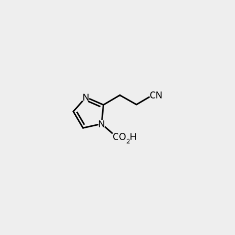 N#CCCc1nccn1C(=O)O